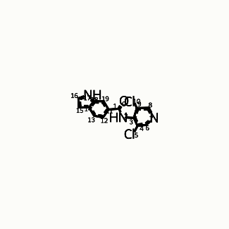 O=C(Nc1c(Cl)cncc1Cl)c1ccc2cc[nH]c2c1